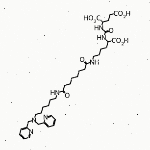 O=C(O)CCC(NC(=O)NC(CCCCNC(=O)CCCCCCC(=O)NCCCCCCN(Cc1ccccn1)Cc1ccccn1)C(=O)O)C(=O)O